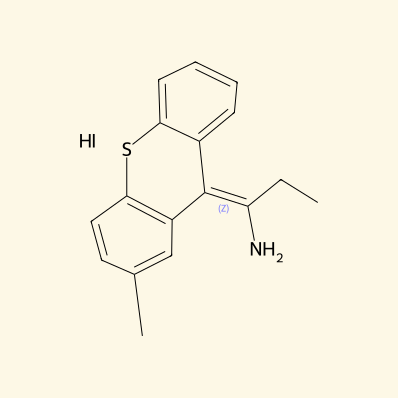 CC/C(N)=C1\c2ccccc2Sc2ccc(C)cc21.I